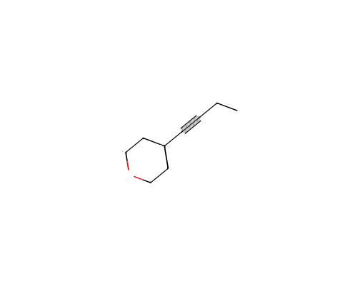 CCC#CC1CCOCC1